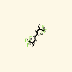 CC(C=CCCC(C)C(F)(F)F)C(F)(F)F